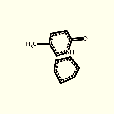 Cc1ccc(=O)[nH]c1.c1ccccc1